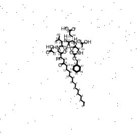 CCCCCCCCCCCCCCC(=O)CC(F)C(=O)[C@H](CC(=O)O)NC(=O)[C@@H](NC(=O)[C@H](CCC(=O)O)NC(=O)[C@H](CC(=O)O)NC(=O)OCc1ccccc1)C(C)C